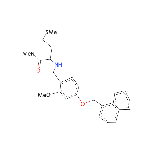 CNC(=O)C(CCSC)NCc1ccc(OCc2cccc3ccccc23)cc1OC